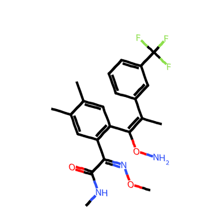 CNC(=O)C(=NOC)c1cc(C)c(C)cc1C(ON)=C(C)c1cccc(C(F)(F)F)c1